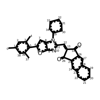 Cc1cc(C)c(-c2cc3c(nc(C=C4C(=O)c5cc6ccccc6cc5C4=O)n3-c3ccccc3)o2)c(C)c1